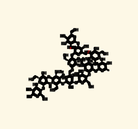 CC(=O)N[C@H]1[C@H](OC[C@H]2O[C@@H](O[C@H]3[C@H](O)[C@@H](NC(C)=O)[C@H](O[C@H]4[C@@H](O)[C@@H](CO)O[C@@H](O[C@H]5[C@H](O)[C@@H](O)[C@H](O)O[C@@H]5CO)[C@@H]4O)O[C@@H]3CO)[C@H](O)[C@@H](O[C@@H]3O[C@H](CO)[C@@H](O[C@@H]4O[C@H](CO)[C@H](O)[C@H](O[C@H]5O[C@H](CO)[C@H](O)[C@H](O)[C@H]5NC(C)=O)[C@H]4O[C@@H]4O[C@@H](C)[C@@H](O)[C@@H](O)[C@@H]4O)[C@H](O)[C@H]3NC(C)=O)[C@H]2O)O[C@H](CO)[C@@H](O[C@@H]2O[C@H](CO)[C@H](O)[C@H](O[C@H]3O[C@H](CO)[C@H](O)[C@H](O)[C@H]3NC(C)=O)[C@H]2O)[C@@H]1O